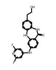 O=C1Nc2cc(CCO)ccc2Nc2cc(Nc3cc(F)nc(F)c3)ccc21